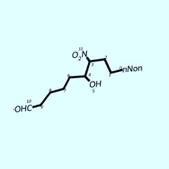 CCCCCCCCCCCC(C(O)CCCC[C]=O)[N+](=O)[O-]